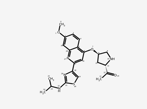 COc1ccc2c(O[C@H]3CN[C@H](C(C)=O)C3)cc(-c3csc(NC(C)C)n3)nc2c1